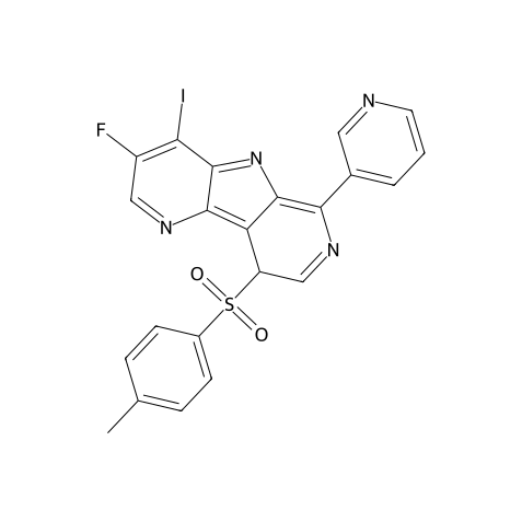 Cc1ccc(S(=O)(=O)C2C=NC(c3cccnc3)=C3N=c4c(I)c(F)cnc4=C32)cc1